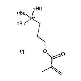 C=C(C)C(=O)OCCC[P+](CCCC)(CCCC)CCCC.[Cl-]